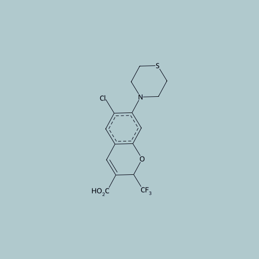 O=C(O)C1=Cc2cc(Cl)c(N3CCSCC3)cc2OC1C(F)(F)F